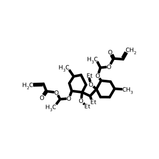 C=CC(=O)OC(C)OC1CC(C)CCC1(OCC)C(CC)C1(OCC)CCC(C)CC1OC(C)OC(=O)C=C